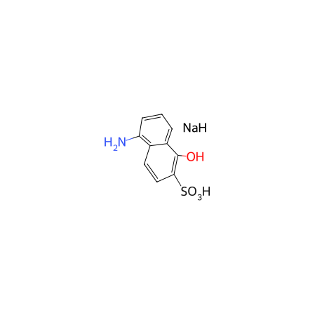 Nc1cccc2c(O)c(S(=O)(=O)O)ccc12.[NaH]